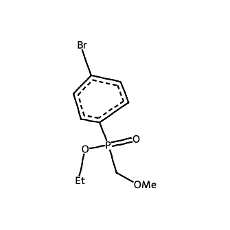 CCOP(=O)(COC)c1ccc(Br)cc1